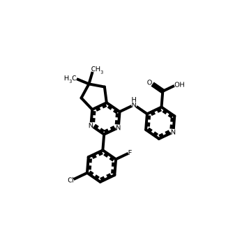 CC1(C)Cc2nc(-c3cc(Cl)ccc3F)nc(Nc3ccncc3C(=O)O)c2C1